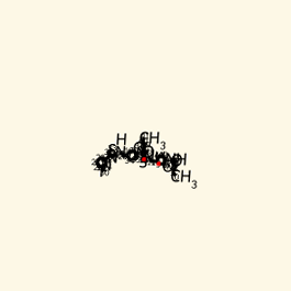 CCCS(=O)(=O)NC1CCC(CNC(=S)N(C2CCC(CNc3nc(-c4cccc(F)n4)cs3)CC2)S(=O)(=O)CCC)CC1